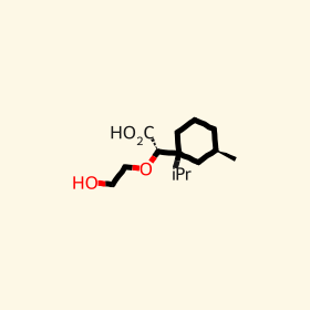 CC(C)C1([C@H](OCCO)C(=O)O)CCC[C@@H](C)C1